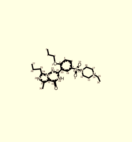 CCCOc1ccc(S(=O)(=O)N2CCN(CC)CC2)cc1-c1nn2c(CCC)nc(C)c2c(=O)[nH]1